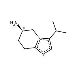 CC(C)c1cnc2n1C[C@H](N)CC2